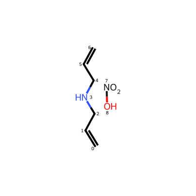 C=CCNCC=C.O=[N+]([O-])O